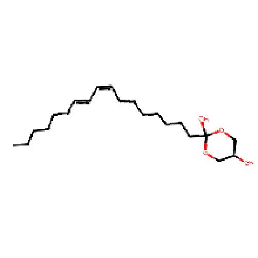 CCCCCC/C=C/C=C\CCCCCCCC1(O)OCC(O)CO1